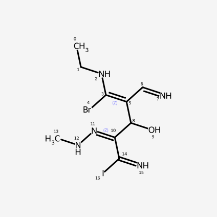 CCN/C(Br)=C(\C=N)C(O)/C(=N/NC)C(=N)I